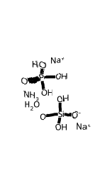 N.O.O=P(O)(O)O.[Na+].[Na+].[O-][Si]([O-])(O)O